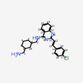 NCC1CCCC(CNc2nc(/C=C/c3ccc(Cl)cc3)nc3ccccc23)C1